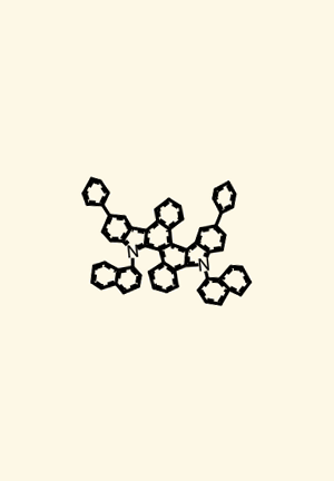 c1ccc(-c2ccc3c(c2)c2c4c5ccccc5c5c6cc(-c7ccccc7)ccc6n(-c6cccc7ccccc67)c5c4c4ccccc4c2n3-c2cccc3ccccc23)cc1